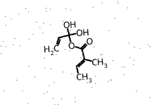 C=CC(O)(O)OC(=O)C(C)=CC